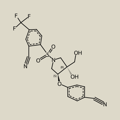 N#Cc1ccc(O[C@H]2CN(S(=O)(=O)c3ccc(C(F)(F)F)cc3C#N)C[C@@]2(O)CO)cc1